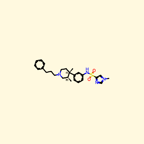 C[C@H]1CN(CCCc2ccccc2)CC[C@]1(C)c1cccc(NS(=O)(=O)c2cn(C)cn2)c1